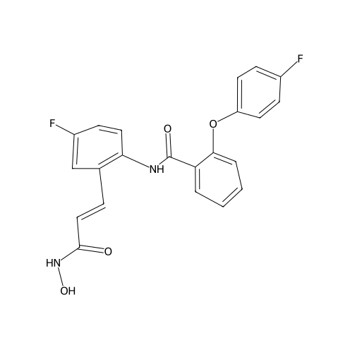 O=C(/C=C/c1cc(F)ccc1NC(=O)c1ccccc1Oc1ccc(F)cc1)NO